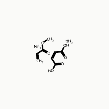 C=CC(=O)OC.N.N.O=C(O)/C=C\C(=O)O